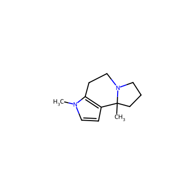 Cn1ccc2c1CCN1CCCC21C